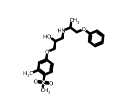 Cc1cc(OCC(O)CNC(C)COc2ccccc2)ccc1S(C)(=O)=O